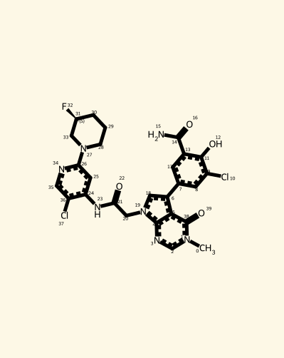 Cn1cnc2c(c(-c3cc(Cl)c(O)c(C(N)=O)c3)cn2CC(=O)Nc2cc(N3CCC[C@H](F)C3)ncc2Cl)c1=O